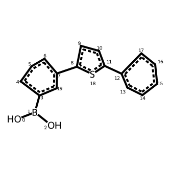 OB(O)c1cccc(-c2ccc(-c3ccccc3)s2)c1